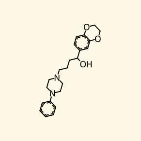 OC(CCCN1CCN(c2ccccc2)CC1)c1ccc2c(c1)OCCO2